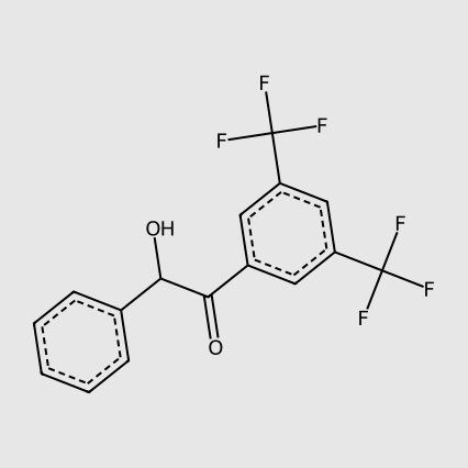 O=C(c1cc(C(F)(F)F)cc(C(F)(F)F)c1)C(O)c1ccccc1